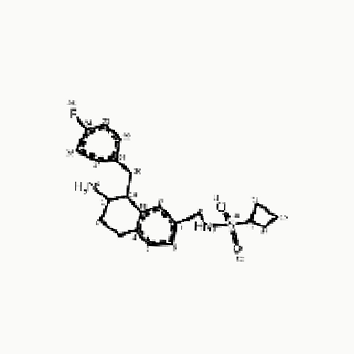 NC1CCc2ccc(CNS(=O)(=O)C3CCC3)cc2C1Cc1ccc(F)cc1